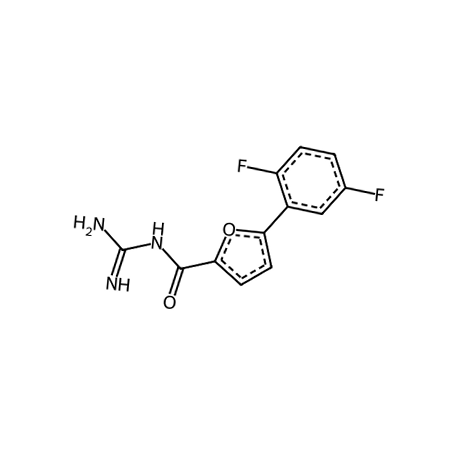 N=C(N)NC(=O)c1ccc(-c2cc(F)ccc2F)o1